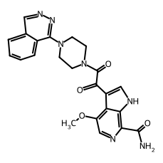 COc1cnc(C(N)=O)c2[nH]cc(C(=O)C(=O)N3CCN(c4nncc5ccccc45)CC3)c12